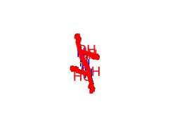 CC/C=C\C/C=C\C/C=C\CCCCCCC(O)CN(CCCC(=O)SCCN1CC(C)N(CCSC(=O)CCCN(CC(O)CCCCCC/C=C\C/C=C\C/C=C\CC)CC(O)CCCCCC/C=C\C/C=C\C/C=C\CC)CC1C)CC(O)CCCCCC/C=C\C/C=C\C/C=C\CC